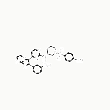 N#Cc1ccc(S(=O)(=O)N2CCC[C@@H](Nc3nccc(-c4c(-c5cccc(O)c5)nc5sccn45)n3)C2)cc1